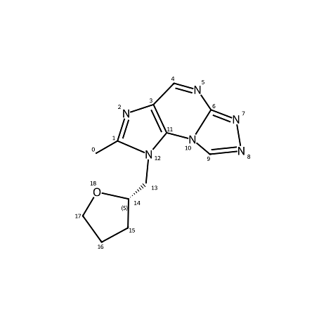 Cc1nc2cnc3nncn3c2n1C[C@@H]1CCCO1